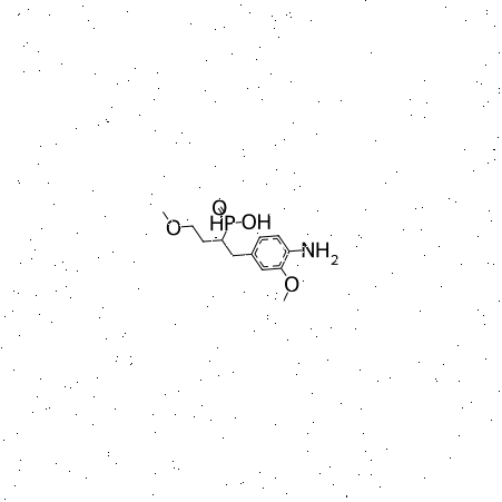 COCCC(Cc1ccc(N)c(OC)c1)[PH](=O)O